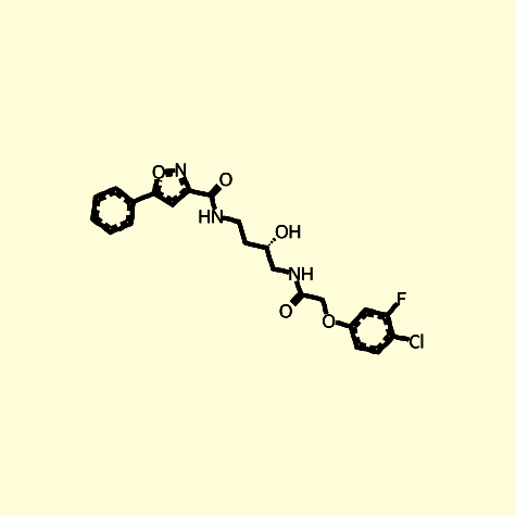 O=C(COc1ccc(Cl)c(F)c1)NC[C@@H](O)CCNC(=O)c1cc(-c2ccccc2)on1